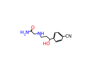 N#Cc1ccc(C(O)CCNCC(N)=O)cc1